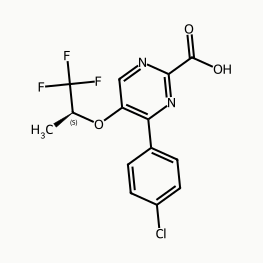 C[C@H](Oc1cnc(C(=O)O)nc1-c1ccc(Cl)cc1)C(F)(F)F